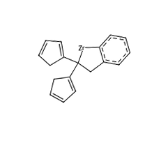 C1=CCC([C]2(C3=CC=CC3)Cc3cccc[c]3[Zr]2)=C1